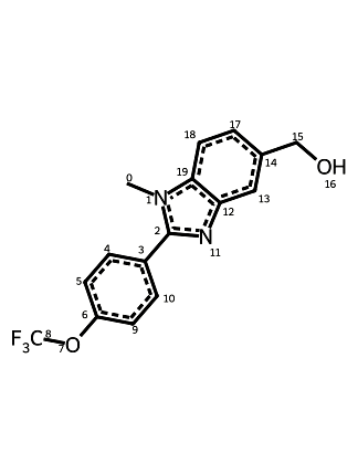 Cn1c(-c2ccc(OC(F)(F)F)cc2)nc2cc(CO)ccc21